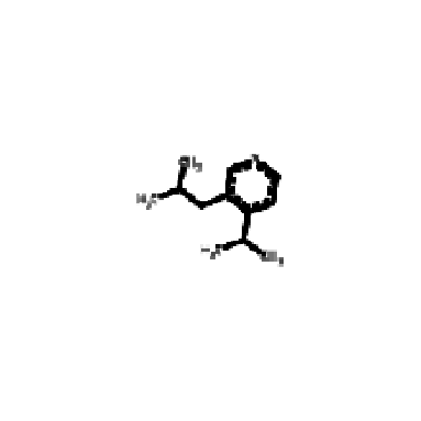 CC(C)Cc1cnccc1C(C)C